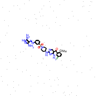 COc1ccc(F)cc1C(=O)c1cnc(NC2CCN(S(=O)(=O)c3cccc(/N=N/c4c(N)n[nH]c4N)c3)CC2)nc1N